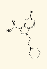 O=C(O)c1cn(CCN2CCCCC2)c2ccc(Br)cc12